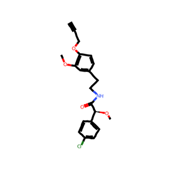 C#CCOc1ccc(CCNC(=O)[C@@H](OC)c2ccc(Cl)cc2)cc1OC